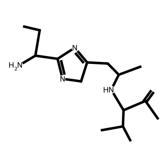 C=C(C)C(NC(C)CC1=NC(C(N)CC)=NC1)C(C)C